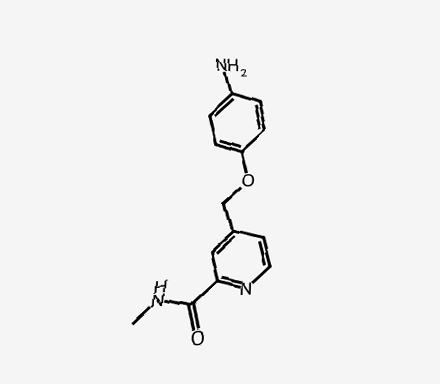 CNC(=O)c1cc(COc2ccc(N)cc2)ccn1